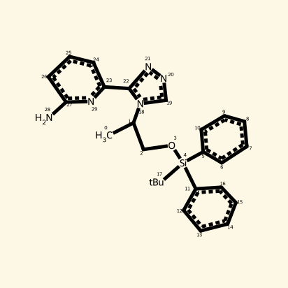 CC(CO[Si](c1ccccc1)(c1ccccc1)C(C)(C)C)n1cnnc1-c1cccc(N)n1